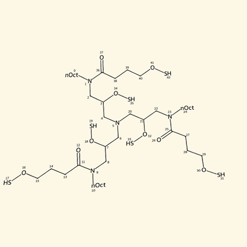 CCCCCCCCN(CC(CN(CC(CN(CCCCCCCC)C(=O)CCCOS)OS)CC(CN(CCCCCCCC)C(=O)CCCOS)OS)OS)C(=O)CCCOS